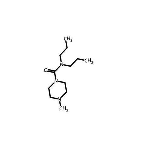 CCCN(CCC)C(=O)N1CCN(C)CC1